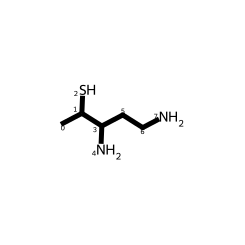 CC(S)C(N)CCN